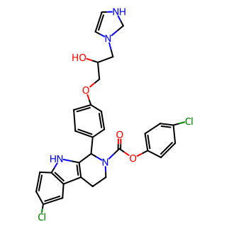 O=C(Oc1ccc(Cl)cc1)N1CCc2c([nH]c3ccc(Cl)cc23)C1c1ccc(OCC(O)CN2C=CNC2)cc1